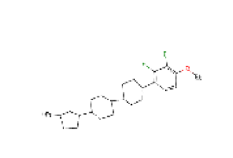 CCCC1CCC(C2CCC(C3CCC(c4ccc(OCC)c(F)c4F)CC3)CC2)C1